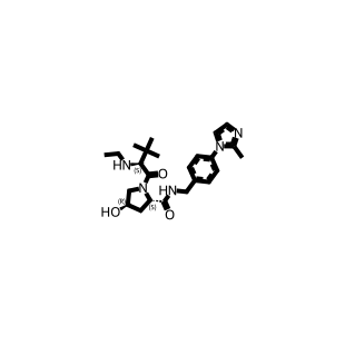 CCN[C@H](C(=O)N1C[C@H](O)C[C@H]1C(=O)NCc1ccc(-n2ccnc2C)cc1)C(C)(C)C